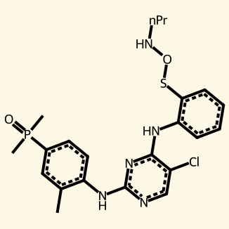 CCCNOSc1ccccc1Nc1nc(Nc2ccc(P(C)(C)=O)cc2C)ncc1Cl